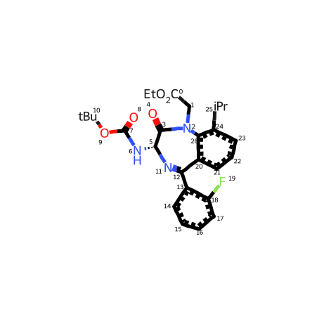 CCOC(=O)CN1C(=O)[C@@H](NC(=O)OC(C)(C)C)N=C(c2ccccc2F)c2cccc(C(C)C)c21